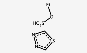 CCOS(=O)(=O)O.c1nncs1